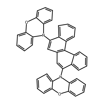 c1ccc2c(c1)Oc1ccccc1N2c1cc2cc(N3c4ccccc4Oc4ccccc43)c3ccccc3c2c2ccccc12